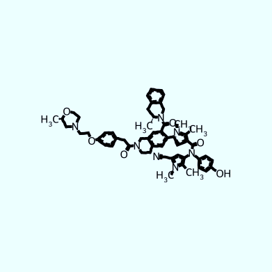 Cc1c(N(C(=O)c2cc(-c3cc4c(cc3C(=O)N3Cc5ccccc5C[C@H]3C)CN(C(=O)Cc3ccc(OCCN5CCO[C@H](C)C5)cc3)CC4)n(C)c2C)c2ccc(O)cc2)cc(C#N)n1C